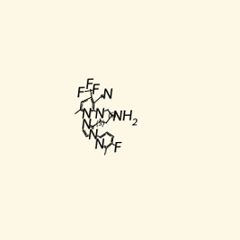 Cc1cc(C(F)(F)F)c(C#N)c(N2C[C@@H](N)C[C@H]2c2nccn2-c2ccc(F)c(C)n2)n1